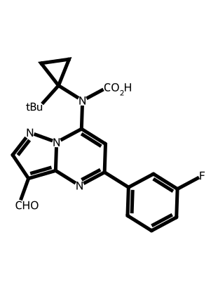 CC(C)(C)C1(N(C(=O)O)c2cc(-c3cccc(F)c3)nc3c(C=O)cnn23)CC1